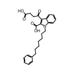 O=C(O)CCC(=O)c1c(C(=O)O)n(CCCCCCCc2ccccc2)c2ccccc12